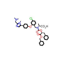 C[C@@H](C(=O)O)N(Cc1ccc(Cl)cc1Oc1ccc(-c2cnc(CN(C)C)n2C)cc1)C(=O)O[C@@H](Cc1ccccc1)C(=O)OCc1ccccc1